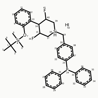 CC(C)(C)[Si](C)(C)Oc1ccccc1C1C(F)C[SiH](Cc2ccc(P(c3ccccc3)c3ccccc3)cc2)CC1F.I